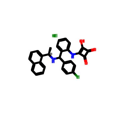 C[C@@H](NC(c1ccc(Cl)cc1)c1ccccc1Nc1c(O)c(=O)c1=O)c1cccc2ccccc12.Cl